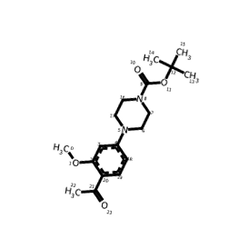 COc1cc(N2CCN(C(=O)OC(C)(C)C)CC2)ccc1C(C)=O